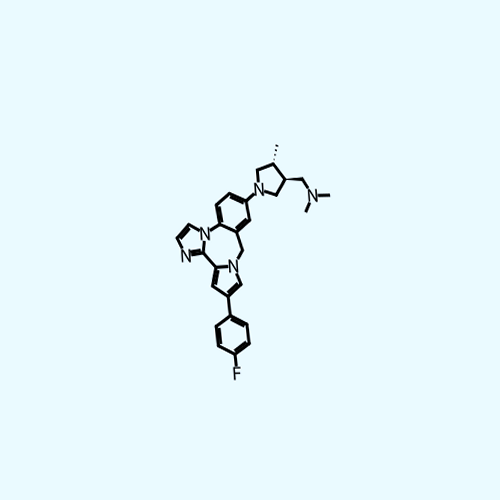 C[C@H]1CN(c2ccc3c(c2)Cn2cc(-c4ccc(F)cc4)cc2-c2nccn2-3)C[C@@H]1CN(C)C